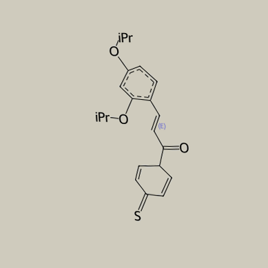 CC(C)Oc1ccc(/C=C/C(=O)C2C=CC(=S)C=C2)c(OC(C)C)c1